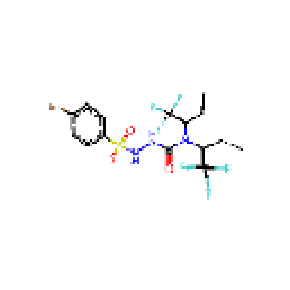 CCC(N(C(=O)NNS(=O)(=O)c1ccc(Br)cc1)C(CC)C(F)(F)F)C(F)(F)F